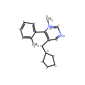 Cc1ccccc1-c1c(CC2CCCC2)cnc[n+]1C